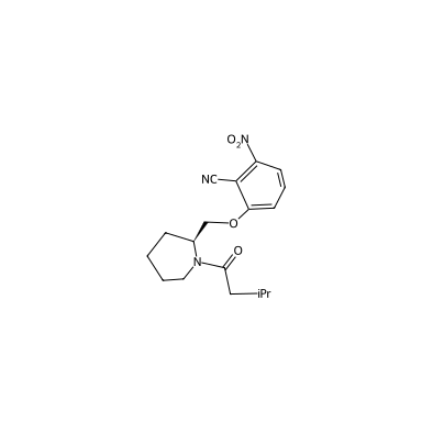 CC(C)CC(=O)N1CCCC[C@H]1COc1cccc([N+](=O)[O-])c1C#N